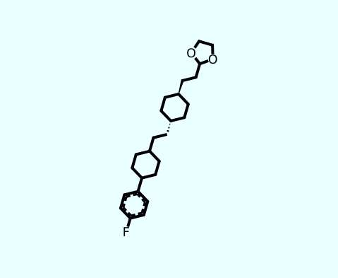 Fc1ccc(C2CCC(CC[C@H]3CC[C@H](CCC4OCCO4)CC3)CC2)cc1